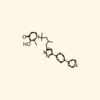 Cc1c(O)c(=O)ccn1C(C)(C)CC(C)Cn1cc(-c2ccc(-c3ccncc3)cc2)nn1